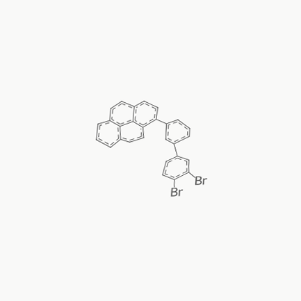 Brc1ccc(-c2cccc(-c3ccc4ccc5cccc6ccc3c4c56)c2)cc1Br